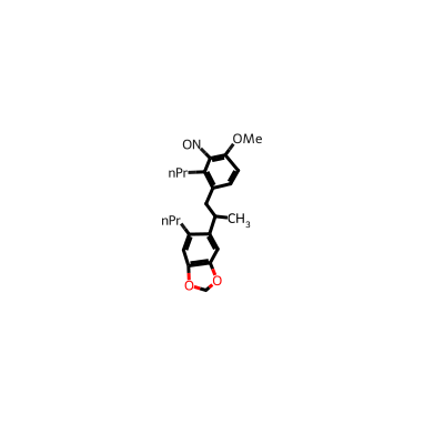 CCCc1cc2c(cc1C(C)Cc1ccc(OC)c(N=O)c1CCC)OCO2